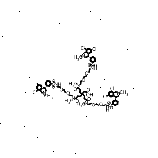 CN1Cc2c(Cl)cc(Cl)cc2[C@H](c2cccc(S(=O)(=O)NCCOCCOCCN(C)C(=O)CCC(CCC(=O)N(C)CCOCCOCCNS(=O)(=O)c3cccc([C@@H]4CN(C)Cc5c(Cl)cc(Cl)cc54)c3)(CCC(=O)N(C)CCOCCOCCNS(=O)(=O)c3cccc([C@@H]4CN(C)Cc5c(Cl)cc(I)cc54)c3)CC(=O)O)c2)C1